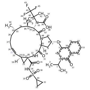 CC(C)n1nc(O[C@@H]2C[C@H]3C(=O)N[C@]4(C(=O)NS(=O)(=O)C5CC5)C[C@H]4/C=C\CC[C@H](C)C[C@@H](C)[C@H](N(C(=O)O)C(C)(C)C(F)(F)F)C(=O)N3C2)c2ccccc2c1=O